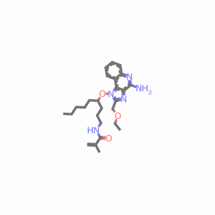 C=C(C)C(=O)NCCCC(CCCCC)On1c(COCC)nc2c(N)nc3ccccc3c21